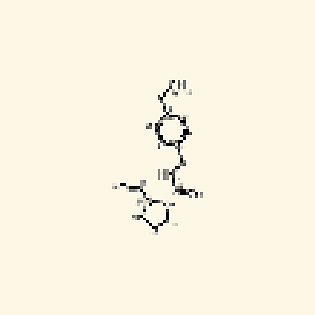 CCc1ccc(CNC(=O)[C@@H]2CCCN2C=O)cc1